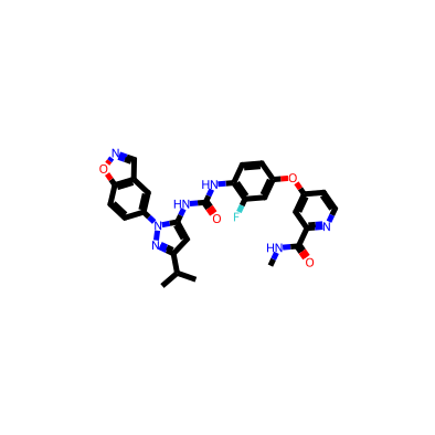 CNC(=O)c1cc(Oc2ccc(NC(=O)Nc3cc(C(C)C)nn3-c3ccc4oncc4c3)c(F)c2)ccn1